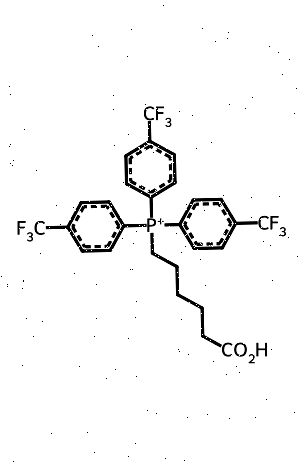 O=C(O)CCCCC[P+](c1ccc(C(F)(F)F)cc1)(c1ccc(C(F)(F)F)cc1)c1ccc(C(F)(F)F)cc1